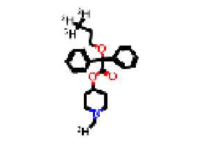 [2H]CN1CCC(OC(=O)C(OCCC([2H])([2H])[2H])(c2ccccc2)c2ccccc2)CC1